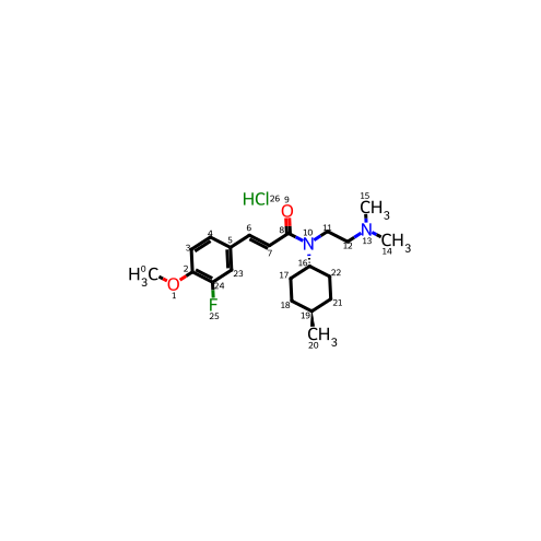 COc1ccc(C=CC(=O)N(CCN(C)C)[C@H]2CC[C@H](C)CC2)cc1F.Cl